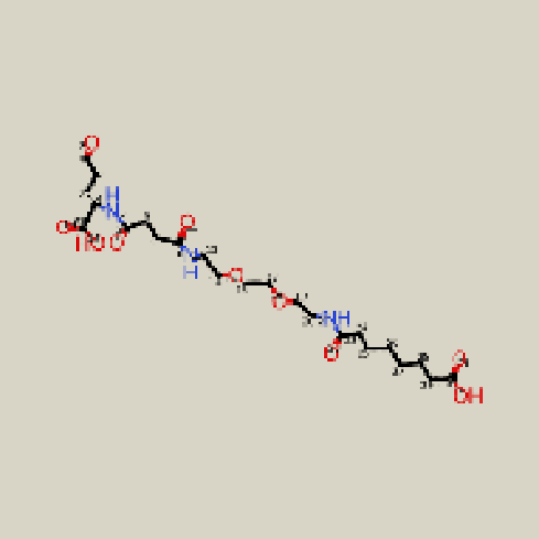 O=[C]CC[C@H](NC(=O)CCC(=O)NCCOCCOCCNC(=O)CCCCCCC(=O)O)C(=O)O